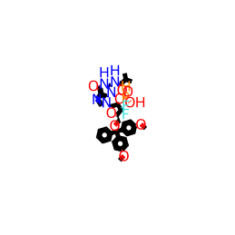 COc1ccc(C(OC[C@H]2O[C@@H](n3cnc4c(=O)[nH]c(NC(=O)C(C)C)nc43)[C@H](O[PH](=O)O)C2(F)F)(c2ccccc2)c2ccc(OC)cc2)cc1